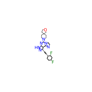 Fc1ccc(C#Cc2n[nH]c3nc(N4CCC5(CCOC5)CC4)n4ccnc4c23)c(F)c1